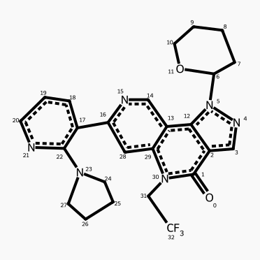 O=c1c2cnn(C3CCCCO3)c2c2cnc(-c3cccnc3N3CCCC3)cc2n1CC(F)(F)F